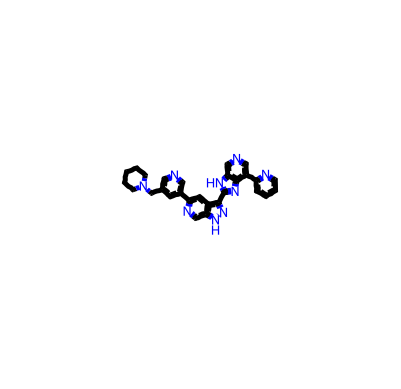 c1ccc(-c2cncc3[nH]c(-c4n[nH]c5cnc(-c6cncc(CN7CCCCC7)c6)cc45)nc23)nc1